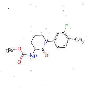 Cc1ccc(N2CCCC(NC(=O)OC(C)(C)C)C2=O)cc1F